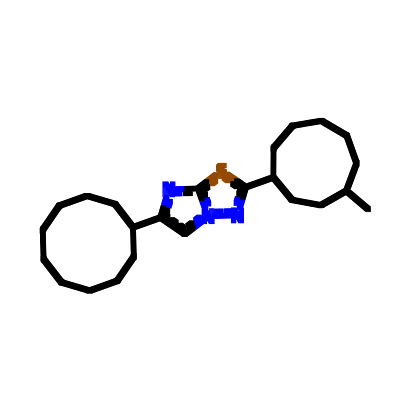 CC1CCCCCC(c2nn3cc(C4CCCCCCCCC4)nc3s2)CC1